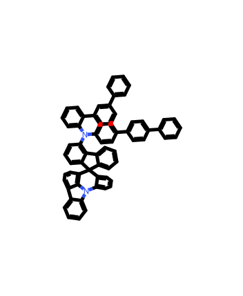 c1ccc(-c2ccc(-c3ccc(N(c4ccccc4-c4cccc(-c5ccccc5)c4)c4cccc5c4-c4ccccc4C54c5ccccc5-n5c6ccccc6c6cccc4c65)cc3)cc2)cc1